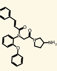 NC1CCN(C(=O)CN(C(=O)/C=C/c2ccccc2)c2ccccc2Oc2ccccc2)C1